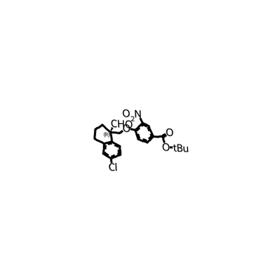 CC(C)(C)OC(=O)c1ccc(OC[C@@]2(C=O)CCCc3cc(Cl)ccc32)c([N+](=O)[O-])c1